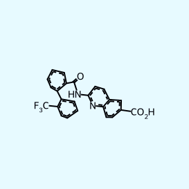 O=C(O)c1ccc2nc(NC(=O)c3ccccc3-c3ccccc3C(F)(F)F)ccc2c1